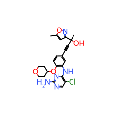 Cc1cc(C(C)(O)C#Cc2ccc(OC3CCOCC3)c(Nc3nc(N)ncc3Cl)c2)no1